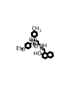 CCOc1ccc(S(=O)(=O)N(CC(=O)N/N=C/c2c(O)ccc3ccccc23)c2ccc(C)cc2)cc1